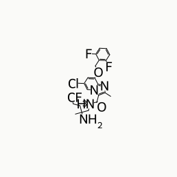 Cc1nc2c(OCc3c(F)cccc3F)cc(Cl)cn2c1C(=O)NCC(C)(N)CCC(F)(F)F